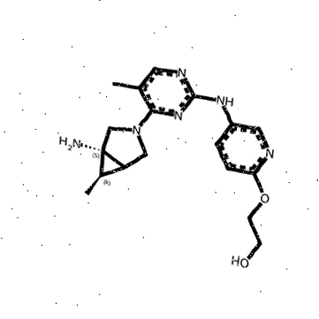 Cc1cnc(Nc2ccc(OCCO)nc2)nc1N1CC2[C@@H](C)[C@@]2(N)C1